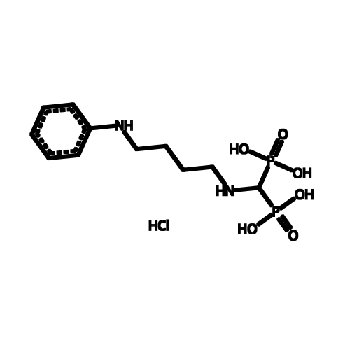 Cl.O=P(O)(O)C(NCCCCNc1ccccc1)P(=O)(O)O